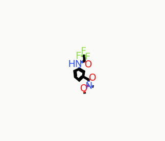 CON(C)C(=O)c1cccc(NC(=O)C(F)(F)F)c1